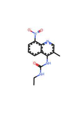 CCNC(=O)Nc1c(C)cnc2c([N+](=O)[O-])cccc12